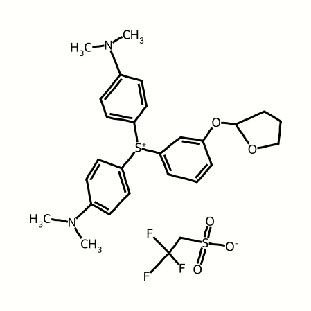 CN(C)c1ccc([S+](c2ccc(N(C)C)cc2)c2cccc(OC3CCCO3)c2)cc1.O=S(=O)([O-])CC(F)(F)F